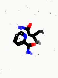 CC(CC(N)=O)C(F)(F)F.NC(=O)c1ccccn1